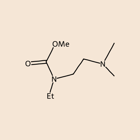 CCN(CCN(C)C)C(=O)OC